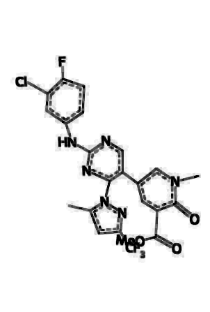 COC(=O)c1cc(-c2cnc(Nc3ccc(F)c(Cl)c3)nc2-n2nc(C(F)(F)F)cc2C)cn(C)c1=O